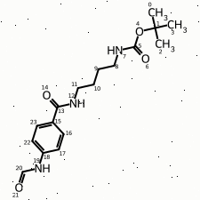 CC(C)(C)OC(=O)NCCCCNC(=O)c1ccc(NC=O)cc1